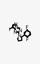 Fc1ccc(F)c(C2CCCN2c2ncn3ncc(I)c3n2)c1